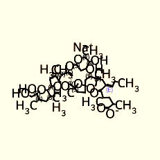 CC/C=C(\C[C@@]1(C)COC2(CC[C@@](C)([C@H]3C[C@H](O[C@@H]4CC[C@H](O)[C@@H](C)O4)[C@@H](C)C4(O[C@@H](C5O[C@@](O)(CO)[C@H](C)C[C@@H]5C)C[C@H]4C)O3)O2)C[C@@H]1O)C(=O)C(C)CC(C)C(=O)[O-].[Na+]